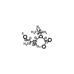 CO[C@H](C[C@H](O)[C@@H]1COCc2cccc(c2)C(Cc2ccccc2)NC(=O)c2cc(cc(N(C)S(=O)(=O)C(C)C)c2)C(=O)N1)C(=O)Nc1ccc(F)cc1